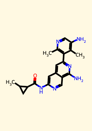 Cc1ncc(N)c(C)c1-c1cc2cc(NC(=O)C3CC3C)ncc2c(N)n1